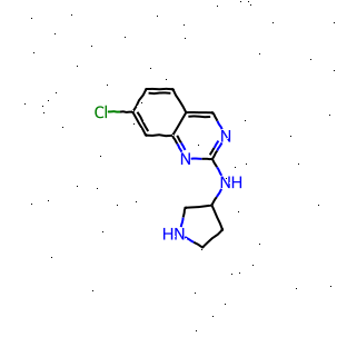 Clc1ccc2cnc(NC3CCNC3)nc2c1